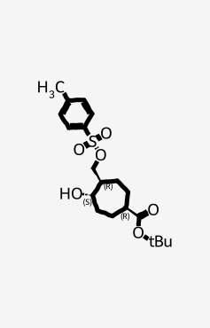 Cc1ccc(S(=O)(=O)OC[C@H]2CC[C@@H](C(=O)OC(C)(C)C)CC[C@@H]2O)cc1